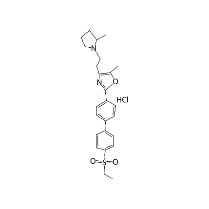 CCS(=O)(=O)c1ccc(-c2ccc(-c3nc(CCN4CCCC4C)c(C)o3)cc2)cc1.Cl